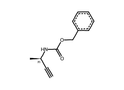 C#C[C@@H](C)NC(=O)OCc1ccccc1